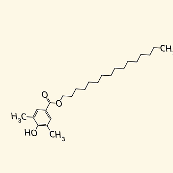 CCCCCCCCCCCCCCCCOC(=O)c1cc(C)c(O)c(C)c1